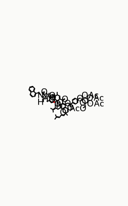 CC(=O)OC[C@H]1O[C@@H](Oc2ccc(C(=O)Oc3c4c(c(CC=C(C)C)c5c3C(=O)C3=CC(C)C(=O)C(O)(C/C=C(/C)C(=O)N(C)C(C)C(=O)NCc6cccc7ccccc67)C3(C(C)C(C)C)O5)OC(C)(CCC=C(C)C)C=C4)cc2)[C@H](OC(C)=O)[C@@H](OC(C)=O)[C@@H]1OC(C)=O